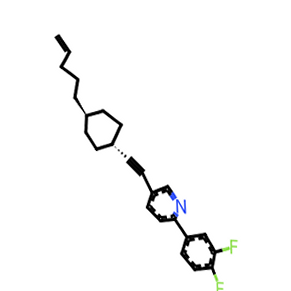 C=CCCC[C@H]1CC[C@H](C#Cc2ccc(-c3ccc(F)c(F)c3)nc2)CC1